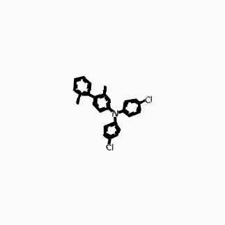 Cc1ccccc1-c1ccc(N(c2ccc(Cl)cc2)c2ccc(Cl)cc2)cc1C